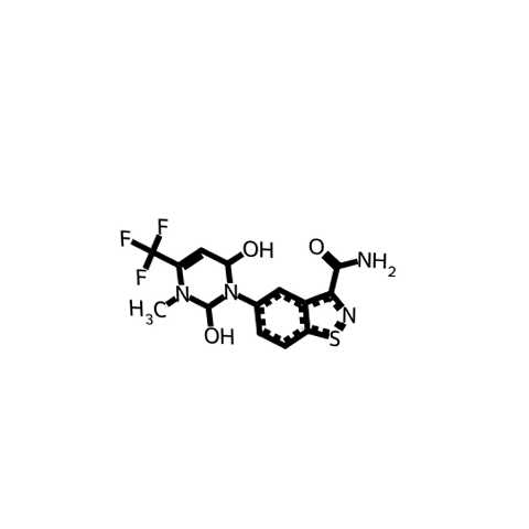 CN1C(C(F)(F)F)=CC(O)N(c2ccc3snc(C(N)=O)c3c2)C1O